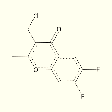 Cc1oc2cc(F)c(F)cc2c(=O)c1CCl